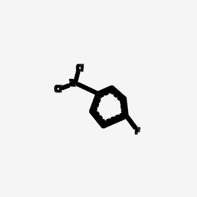 Fc1cc[c]([Zr]([Cl])[Cl])cc1